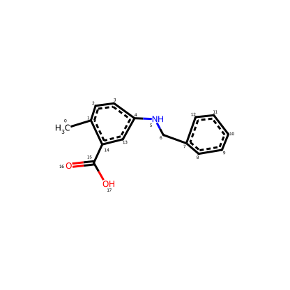 Cc1ccc(NCc2ccccc2)cc1C(=O)O